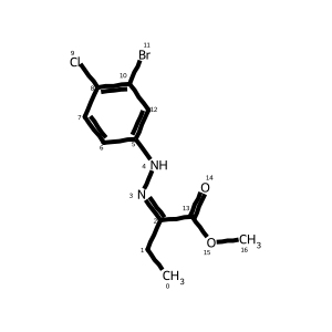 CCC(=NNc1ccc(Cl)c(Br)c1)C(=O)OC